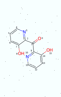 O=C(c1ncccc1O)c1ncccc1O